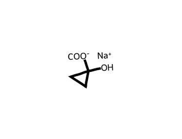 O=C([O-])C1(O)CC1.[Na+]